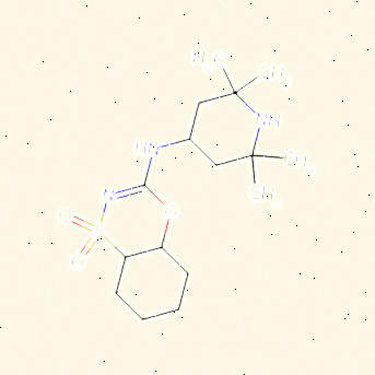 CC1(C)CC(NC2=NS(=O)(=O)C3CCCCC3O2)CC(C)(C)N1